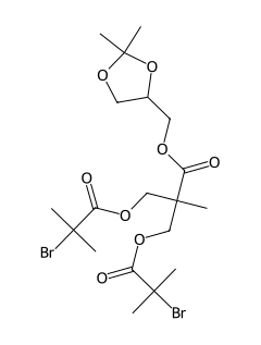 CC1(C)OCC(COC(=O)C(C)(COC(=O)C(C)(C)Br)COC(=O)C(C)(C)Br)O1